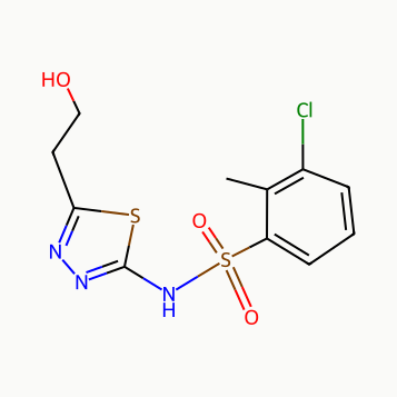 Cc1c(Cl)cccc1S(=O)(=O)Nc1nnc(CCO)s1